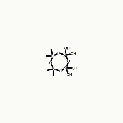 C[Si]1(C)O[Si](C)(C)O[Si](O)(O)O[Si](O)(O)O1